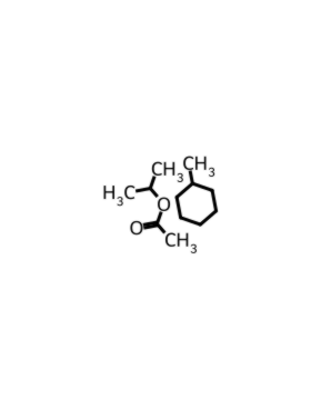 CC(=O)OC(C)C.CC1CCCCC1